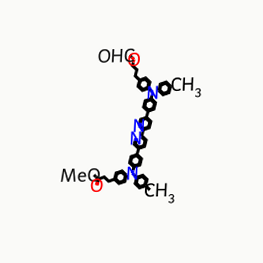 COC(=O)CCc1ccc(N(c2ccc(C)cc2)c2ccc(-c3ccc(-c4ccc(-c5ccc(N(c6ccc(C)cc6)c6ccc(CCCOC=O)cc6)cc5)cn4)nc3)cc2)cc1